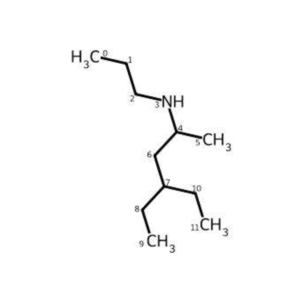 CCCNC(C)CC(CC)CC